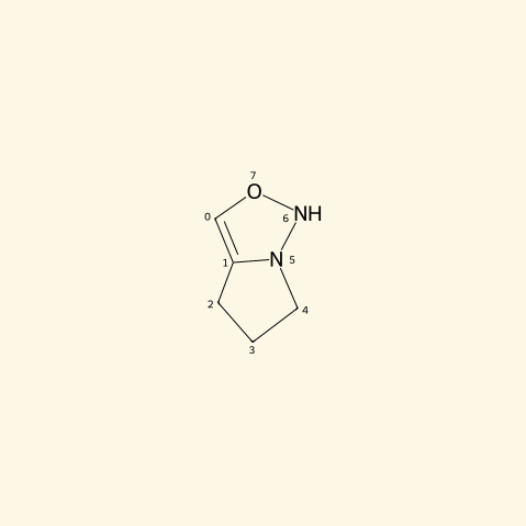 C1=C2CCCN2NO1